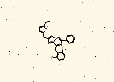 CCc1ccc(Cc2cn3cc(-c4ccccc4)nc(Cc4c(F)cccc4F)c3n2)o1